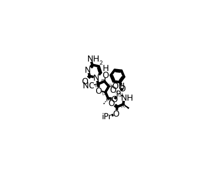 CC(C)OC(=O)[C@H](C)N[P@@](=O)(Oc1ccccc1)O[C@H](C)[C@H]1O[C@@](C#N)(n2ccc(N)nc2=O)[C@H](O)[C@@H]1O